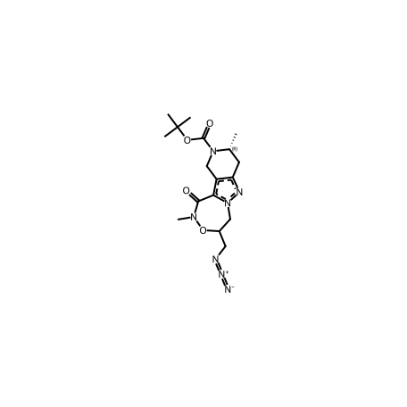 C[C@@H]1Cc2nn3c(c2CN1C(=O)OC(C)(C)C)C(=O)N(C)OC(CN=[N+]=[N-])C3